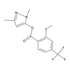 CSc1cc(C(F)(F)F)ccc1C(=O)Oc1cc(C)nn1C